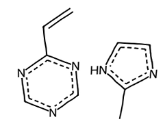 C=Cc1ncncn1.Cc1ncc[nH]1